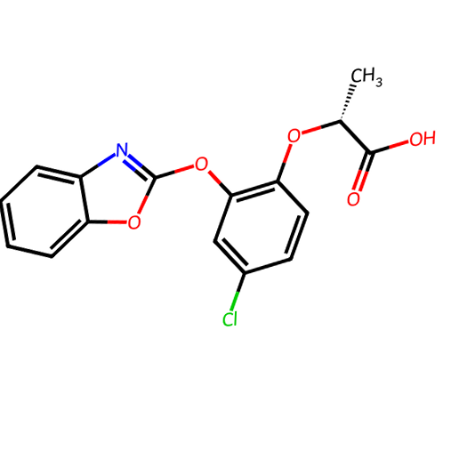 C[C@@H](Oc1ccc(Cl)cc1Oc1nc2ccccc2o1)C(=O)O